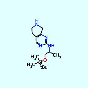 C[C@@H](CO[Si](C)(C)C(C)(C)C)Nc1ncc2c(n1)CNCC2